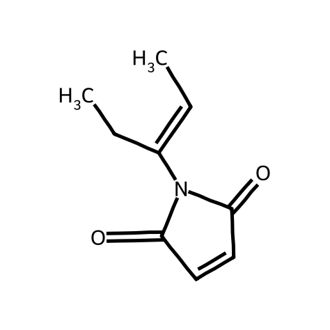 C/C=C(\CC)N1C(=O)C=CC1=O